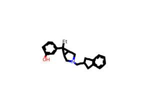 CCC1(c2cccc(O)c2)C2CN(CC3Cc4ccccc4C3)CC21